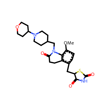 COc1ccc(CC2SC(=O)NC2=O)c2c1N(CC1CCN(C3CCOCC3)CC1)C(=O)CC2